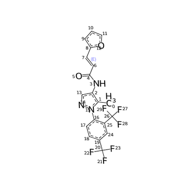 Cc1c(NC(=O)/C=C/c2ccco2)cnn1-c1ccc(C(F)(F)F)cc1C(F)(F)F